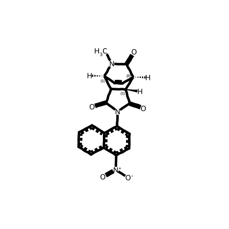 CN1C(=O)[C@@H]2C=C[C@H]1C1C(=O)N(c3ccc([N+](=O)[O-])c4ccccc34)C(=O)[C@H]12